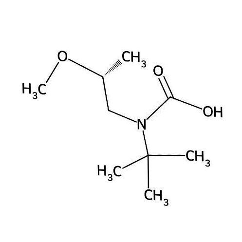 CO[C@H](C)CN(C(=O)O)C(C)(C)C